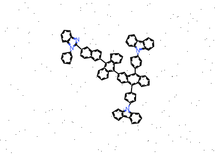 c1ccc(-n2c(-c3ccc4cc(-c5c6ccccc6c(-c6ccc7c(-c8ccc(-n9c%10ccccc%10c%10ccccc%109)cc8)c8ccccc8c(-c8ccc(-n9c%10ccccc%10c%10ccccc%109)cc8)c7c6)c6ccccc56)ccc4c3)nc3ccccc32)cc1